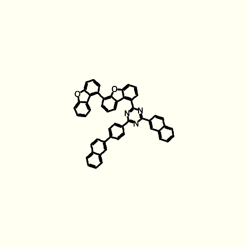 c1ccc2cc(-c3ccc(-c4nc(-c5ccc6ccccc6c5)nc(-c5cccc6oc7c(-c8cccc9oc%10ccccc%10c89)cccc7c56)n4)cc3)ccc2c1